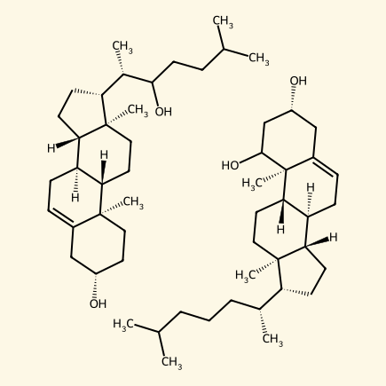 CC(C)CCC(O)[C@@H](C)[C@H]1CC[C@H]2[C@@H]3CC=C4C[C@@H](O)CC[C@]4(C)[C@H]3CC[C@]12C.CC(C)CCC[C@@H](C)[C@H]1CC[C@H]2[C@@H]3CC=C4C[C@@H](O)CC(O)[C@]4(C)[C@H]3CC[C@]12C